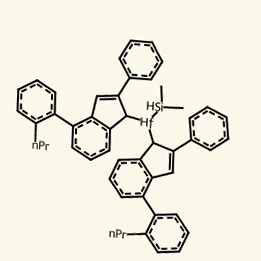 CCCc1ccccc1-c1cccc2c1C=C(c1ccccc1)[CH]2[Hf]([CH]1C(c2ccccc2)=Cc2c(-c3ccccc3CCC)cccc21)[SiH](C)C